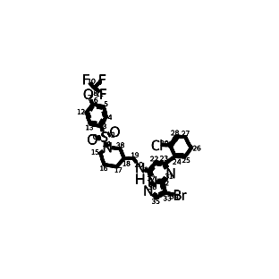 O=S(=O)(c1ccc(OC(F)(F)F)cc1)N1CCCC(CNc2cc(C3=CCCC=C3Cl)nc3c(Br)cnn23)C1